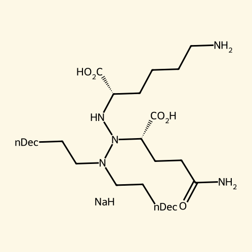 CCCCCCCCCCCCN(CCCCCCCCCCCC)N(N[C@@H](CCCCN)C(=O)O)[C@@H](CCC(N)=O)C(=O)O.[NaH]